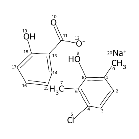 Cc1ccc(Cl)c(C)c1O.O=C([O-])c1ccccc1O.[Na+]